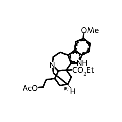 CCOC(=O)C12C[C@H]3CC(CCOC(C)=O)C1N(CCc1c2[nH]c2ccc(OC)cc12)C3